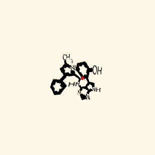 Cc1cc(-c2ccccc2)c(C(C)Nc2ncnc3[nH]cc(-c4ccccc4O)c23)[nH]1